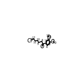 COc1ccc(C(=O)CCCCCCl)cc1OC